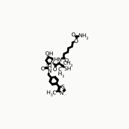 Cc1ncsc1-c1ccc(CNC(=O)[C@@H]2C[C@@H](O)CN2C(=O)[C@@H](NC(=O)CCCCCOC(N)=O)C(C)(C)S)cc1